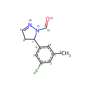 Cc1cc(F)cc(C2CC=NN2C=O)c1